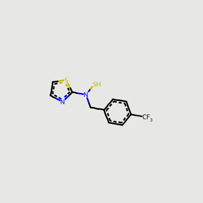 FC(F)(F)c1ccc(CN(S)c2nccs2)cc1